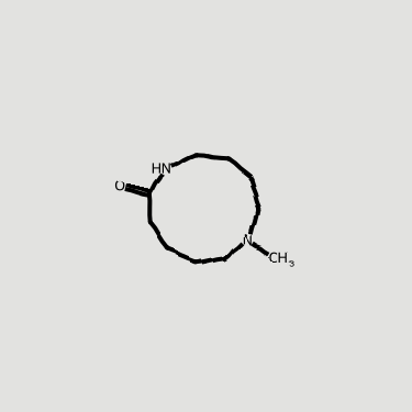 CN1CCCCNC(=O)CCCC1